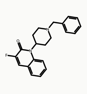 O=c1c(F)cc2ccccc2n1C1CCN(Cc2ccccc2)CC1